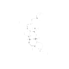 COC(=O)CC[C@@H](C)[C@H]1CC[C@H]2[C@@H]3CC[C@@H]4C[C@H](C)CC[C@]4(C)[C@H]3C[C@@H](O)[C@]12C